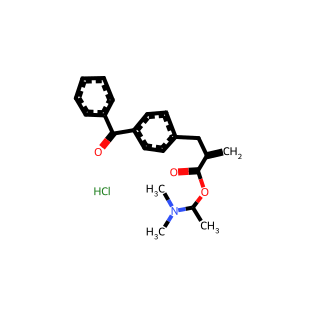 C=C(Cc1ccc(C(=O)c2ccccc2)cc1)C(=O)OC(C)N(C)C.Cl